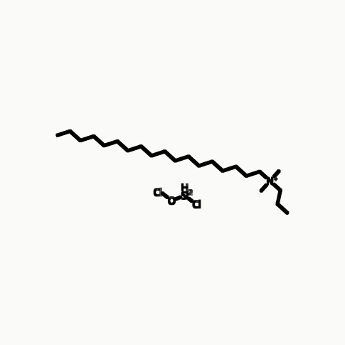 CCCCCCCCCCCCCCCCCC[N+](C)(C)CCC.ClO[SiH2]Cl